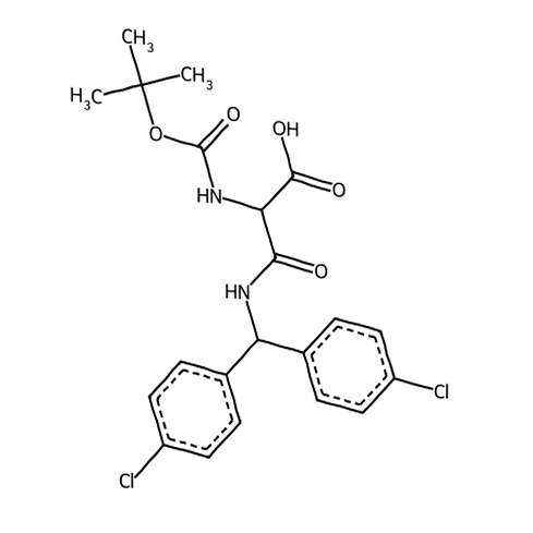 CC(C)(C)OC(=O)NC(C(=O)O)C(=O)NC(c1ccc(Cl)cc1)c1ccc(Cl)cc1